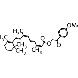 COc1ccc(C(=O)COC(=O)C=C(C)C=C/C=C(/C)C=CC2=C(C)CCCC2(C)C)cc1